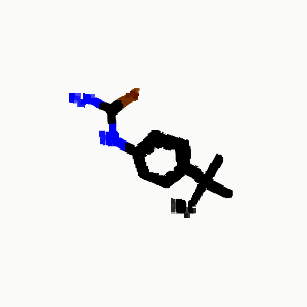 CC(C)(C(=O)O)c1ccc(NC(N)=S)cc1